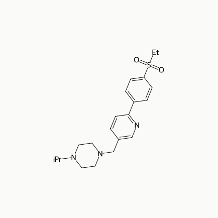 CCS(=O)(=O)c1ccc(-c2ccc(CN3CCN(C(C)C)CC3)cn2)cc1